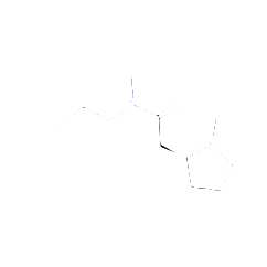 CN(CCC(=O)O)C(=O)C[C@@H]1CCCN1C